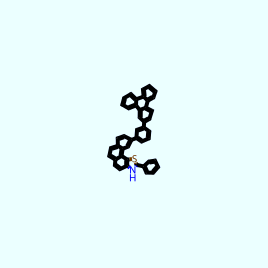 c1ccc(C2Nc3ccc4ccc5ccc(-c6cccc(-c7ccc8c9ccccc9c9ccccc9c8c7)c6)cc5c4c3S2)cc1